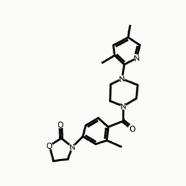 Cc1cnc(N2CCN(C(=O)c3ccc(N4CCOC4=O)cc3C)CC2)c(C)c1